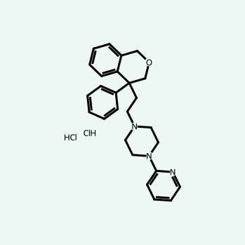 Cl.Cl.c1ccc(C2(CCN3CCN(c4ccccn4)CC3)COCc3ccccc32)cc1